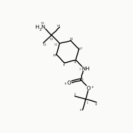 CC(C)(C)OC(=O)NC1CCC(C(C)(C)N)CC1